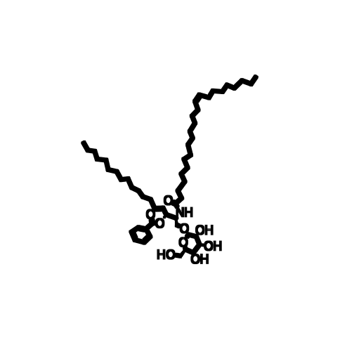 CCCCCCCC/C=C\CCCCCCCCCCCCCC(=O)N[C@@H](CO[C@H]1O[C@H](CO)[C@H](O)[C@H](O)[C@H]1O)[C@@H](/C=C/CCCCCCCCCCCCC)OC(=O)c1ccccc1